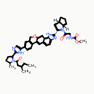 CCC(C)CC(=O)N1C(c2ncc(-c3ccc4c(c3)COc3cc5c(ccc6nc([C@@H]7C[C@@H]8CCC[C@@H]8N7C(=O)CNC(=O)OC)[nH]c65)cc3-4)[nH]2)CC[C@@H]1C